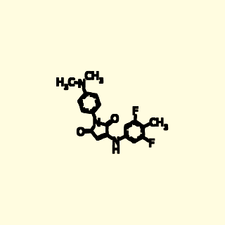 Cc1c(F)cc(NC2=CC(=O)N(c3ccc(N(C)C)cc3)C2=O)cc1F